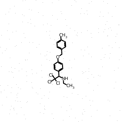 CCNC(c1ccc(OCc2ccc(C)cc2)cc1)C(Cl)(Cl)Cl